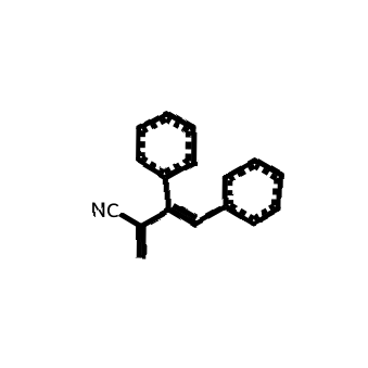 C=C(C#N)C(=Cc1ccccc1)c1ccccc1